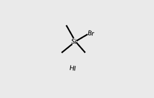 C[Si](C)(C)Br.I